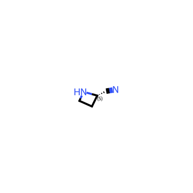 N#C[C@@H]1CCN1